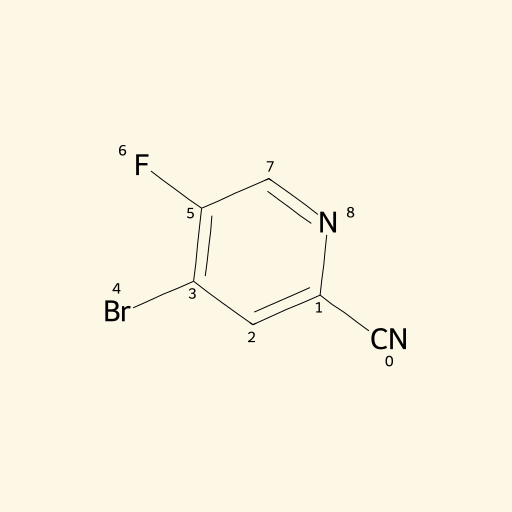 N#Cc1cc(Br)c(F)cn1